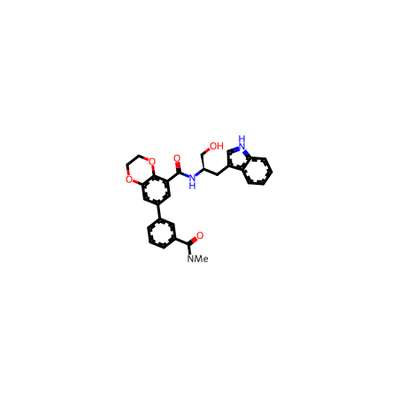 CNC(=O)c1cccc(-c2cc3c(c(C(=O)N[C@@H](CO)Cc4c[nH]c5ccccc45)c2)OCCO3)c1